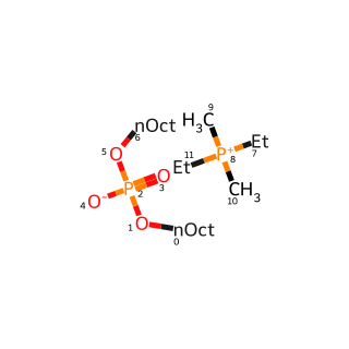 CCCCCCCCOP(=O)([O-])OCCCCCCCC.CC[P+](C)(C)CC